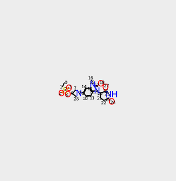 CCS(=O)(=O)OC1CN(c2ccc3c(c2)n(C)c(=O)n3C2CCC(=O)NC2=O)C1